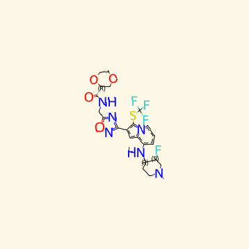 CN1CC[C@@H](Nc2cccn3c(SC(F)(F)F)c(-c4noc(CNC(=O)[C@H]5COCCO5)n4)cc23)[C@@H](F)C1